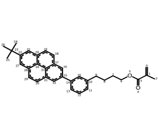 C=C(C)C(=O)OCCCCc1cccc(-c2cc3ccc4cc(C(C)(C)C)cc5ccc(c2)c3c45)c1